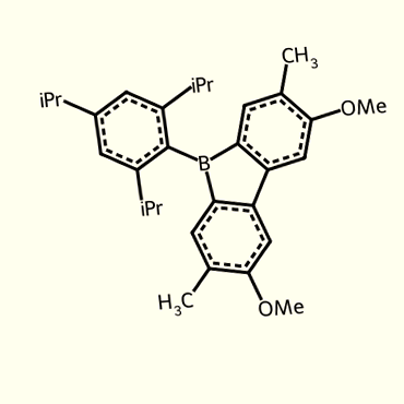 COc1cc2c(cc1C)B(c1c(C(C)C)cc(C(C)C)cc1C(C)C)c1cc(C)c(OC)cc1-2